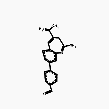 C=C(C)C1=Cc2ccc(-c3ccc(C=O)cc3)cc2N=C(N)C1